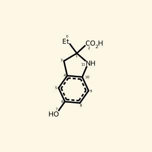 CCC1(C(=O)O)Cc2cc(O)ccc2N1